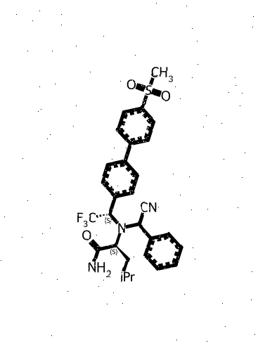 CC(C)C[C@@H](C(N)=O)N(C(C#N)c1ccccc1)[C@@H](c1ccc(-c2ccc(S(C)(=O)=O)cc2)cc1)C(F)(F)F